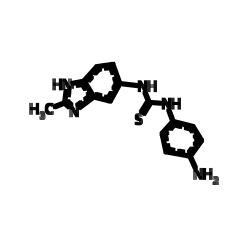 Cc1nc2cc(NC(=S)Nc3ccc(N)cc3)ccc2[nH]1